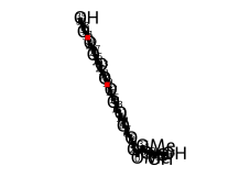 COC(OCCOCCOCCOCCOCCOCCOCCOCCOCCOCCOCCO)C(OC)OCC(O)COO